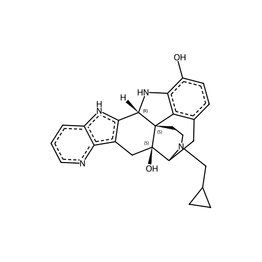 Oc1ccc2c3c1N[C@H]1c4[nH]c5cccnc5c4C[C@@]4(O)C(C2)N(CC2CC2)CC[C@]314